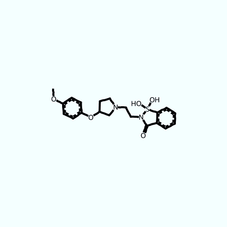 COc1ccc(OC2CCN(CCN3C(=O)c4ccccc4S3(O)O)C2)cc1